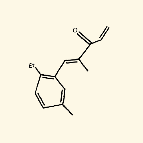 C=CC(=O)/C(C)=C/c1cc(C)ccc1CC